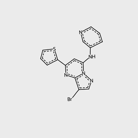 Brc1cnn2c(Nc3cccnc3)cc(-c3cccs3)nc12